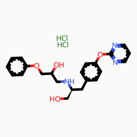 Cl.Cl.OC[C@H](Cc1ccc(Oc2ncccn2)cc1)NCC(O)COc1ccccc1